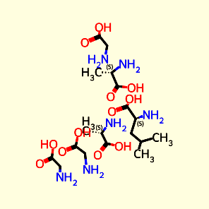 CC(C)C[C@H](N)C(=O)O.C[C@H](N)C(=O)O.C[C@H](N)C(=O)O.NCC(=O)O.NCC(=O)O.NCC(=O)O